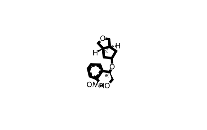 COc1ccccc1[C@H](CO)OC1C[C@@H]2COC[C@H]2C1